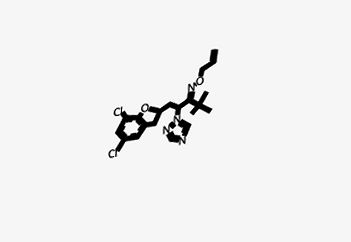 C=CCON=C(C(CC1Cc2cc(Cl)cc(Cl)c2O1)n1cncn1)C(C)(C)C